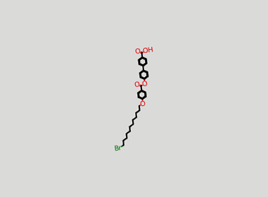 O=C(O)c1ccc(-c2ccc(OC(=O)c3ccc(OCCCCCCCCCCCCBr)cc3)cc2)cc1